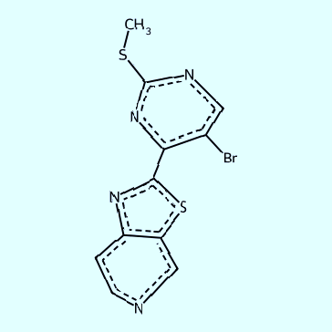 CSc1ncc(Br)c(-c2nc3ccncc3s2)n1